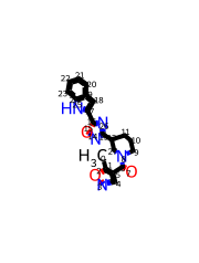 Cc1oncc1C(=O)N1CCCC(c2noc(-c3cc4ccccc4[nH]3)n2)C1